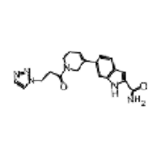 NC(=O)c1cc2ccc(C3=CCCN(C(=O)CCn4ccnn4)C3)cc2[nH]1